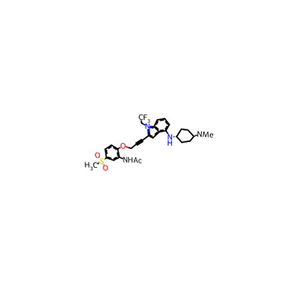 CN[C@H]1CC[C@H](Nc2cccc3c2cc(C#CCOc2ccc(S(C)(=O)=O)cc2NC(C)=O)n3CC(F)(F)F)CC1